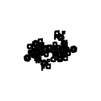 Cc1nc([C@H]2O[C@H]3CO[C@@H](c4ccccc4)O[C@H]3[C@@H](n3cc(-c4cc(F)c(Cl)c(F)c4)nn3)[C@@H]2OCC(=O)N2CCCN(C(=O)CO[C@@H]3[C@@H](n4cc(-c5cc(F)c(Cl)c(F)c5)nn4)[C@H]4O[C@@H](c5ccccc5)OC[C@H]4O[C@H]3c3nc(C)nn3-c3cc(Cl)ccc3Cl)CC2)n(-c2cc(Cl)ccc2Cl)n1